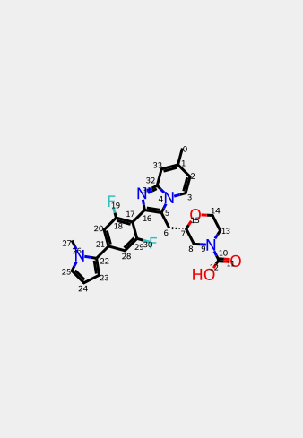 Cc1ccn2c(C[C@H]3CN(C(=O)O)CCO3)c(-c3c(F)cc(-c4cccn4C)cc3F)nc2c1